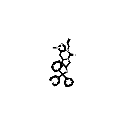 C=CCOC(=O)N1CC(SC(c2ccccc2)(c2ccccc2)c2ccccc2)CC1Cc1ccnn1C